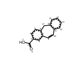 O=C(O)c1ccc2c(c1)C=Cc1ccccc1C2